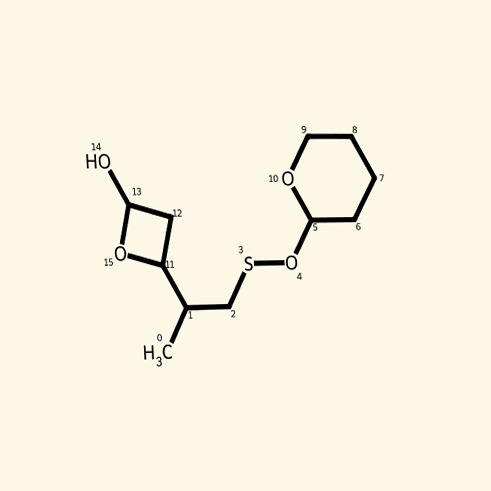 CC(CSOC1CCCCO1)C1CC(O)O1